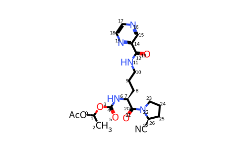 CC(=O)OC(C)OC(=O)N[C@@H](CCCNC(=O)c1cnccn1)C(=O)N1CCC[C@H]1C#N